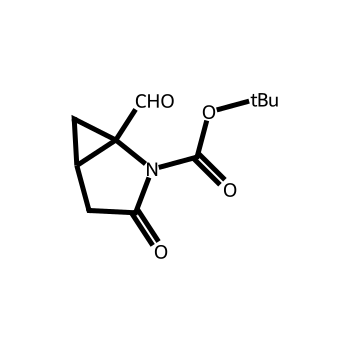 CC(C)(C)OC(=O)N1C(=O)CC2CC21C=O